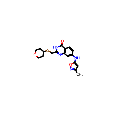 Cc1cc(Nc2ccc3c(=O)[nH]c(CSC4CCOCC4)nc3c2)on1